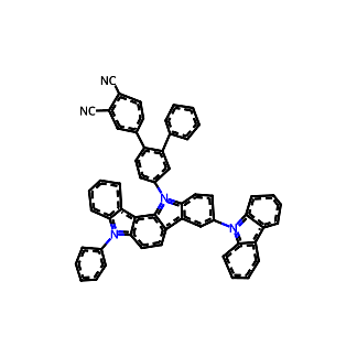 N#Cc1ccc(-c2ccc(-n3c4ccc(-n5c6ccccc6c6ccccc65)cc4c4ccc5c(c6ccccc6n5-c5ccccc5)c43)cc2-c2ccccc2)cc1C#N